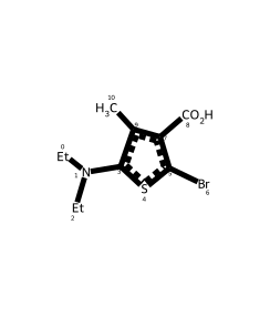 CCN(CC)c1sc(Br)c(C(=O)O)c1C